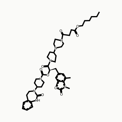 CCCCCCOC(=O)CCC(=O)N1CCN(C2CCN(C(=O)[C@@H](Cc3cc(C)c4c(c3)oc(=O)n4C)OC(=O)N3CCC(N4CCc5ccccc5NC4=O)CC3)CC2)CC1